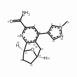 Cn1cc(-c2cc(C(N)=O)nc3c2C[C@H]2CC[C@@H]3O2)cn1